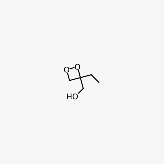 CCC1(CO)COO1